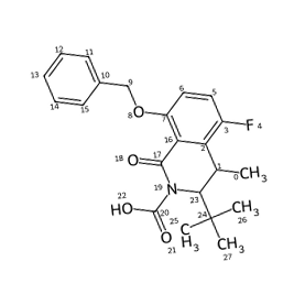 CC1c2c(F)ccc(OCc3ccccc3)c2C(=O)N(C(=O)O)C1C(C)(C)C